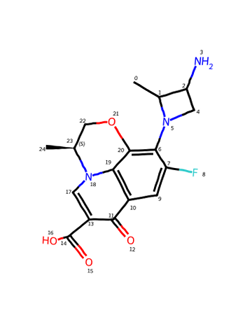 CC1C(N)CN1c1c(F)cc2c(=O)c(C(=O)O)cn3c2c1OC[C@@H]3C